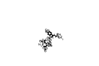 COc1ccc2c(CCN(C)C)cn(C(=O)OCOP(=O)(OCc3oc(=O)oc3C)OCc3oc(=O)oc3C)c2c1